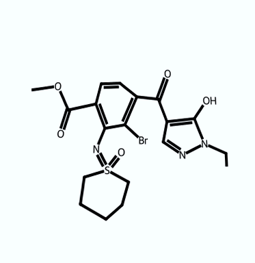 CCn1ncc(C(=O)c2ccc(C(=O)OC)c(N=S3(=O)CCCCC3)c2Br)c1O